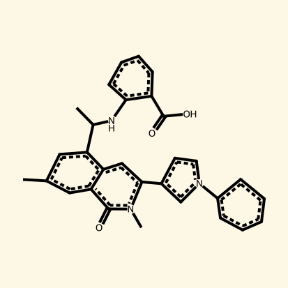 Cc1cc(C(C)Nc2ccccc2C(=O)O)c2cc(-c3ccn(-c4ccccc4)c3)n(C)c(=O)c2c1